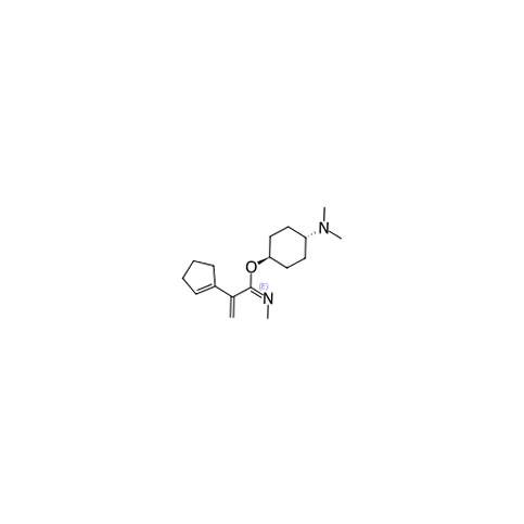 C=C(C1=CCCC1)/C(=N\C)O[C@H]1CC[C@H](N(C)C)CC1